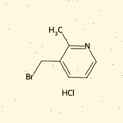 Cc1ncccc1CBr.Cl